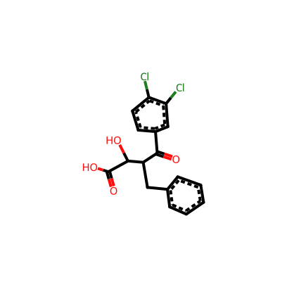 O=C(O)C(O)C(Cc1ccccc1)C(=O)c1ccc(Cl)c(Cl)c1